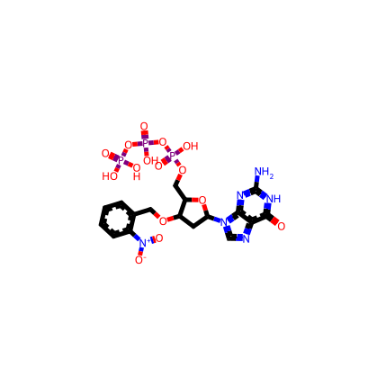 Nc1nc2c(ncn2C2CC(OCc3ccccc3[N+](=O)[O-])C(COP(=O)(O)OP(=O)(O)OP(=O)(O)O)O2)c(=O)[nH]1